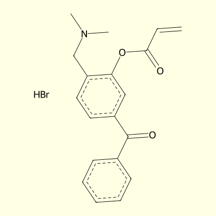 Br.C=CC(=O)Oc1cc(C(=O)c2ccccc2)ccc1CN(C)C